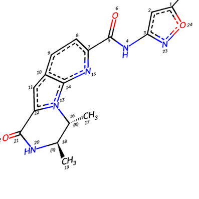 Cc1cc(NC(=O)c2ccc3cc4n(c3n2)[C@H](C)[C@@H](C)NC4=O)no1